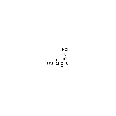 Cl.Cl.Cl.Cl.Cl.Cl.[B]